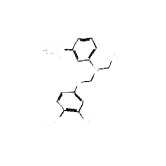 CC(=O)CN(COc1ccc(C(F)(F)F)c(C(F)(F)F)c1)c1cccc(C(=O)O)c1